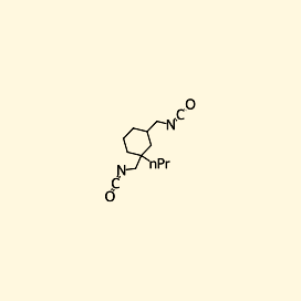 CCCC1(CN=C=O)CCCC(CN=C=O)C1